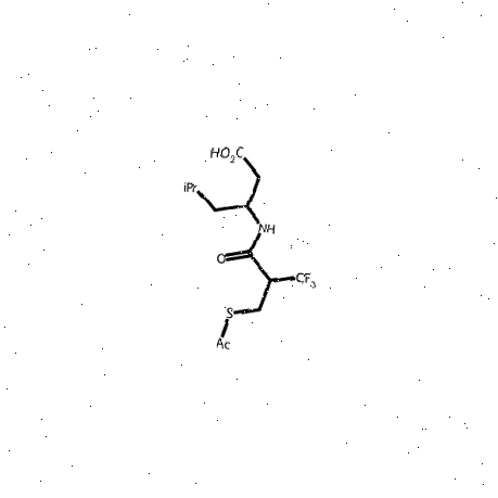 CC(=O)SCC(C(=O)NC(CC(=O)O)CC(C)C)C(F)(F)F